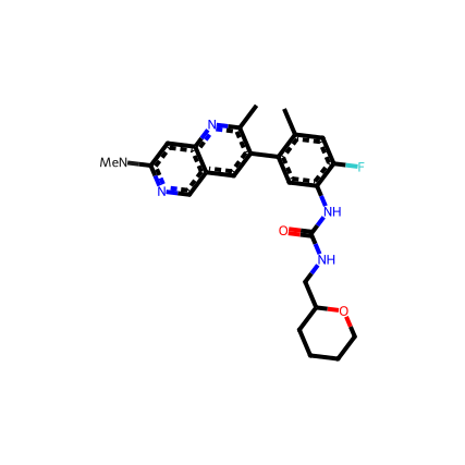 CNc1cc2nc(C)c(-c3cc(NC(=O)NCC4CCCCO4)c(F)cc3C)cc2cn1